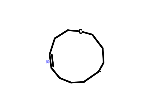 [CH]1CCC/C=C\CCCCCC1